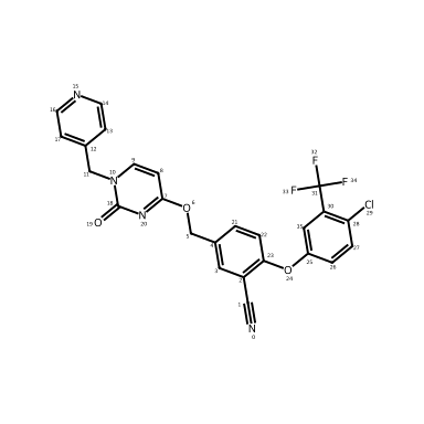 N#Cc1cc(COc2ccn(Cc3ccncc3)c(=O)n2)ccc1Oc1ccc(Cl)c(C(F)(F)F)c1